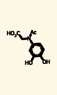 CC(=O)N(CC(=O)O)c1ccc(O)c(O)c1